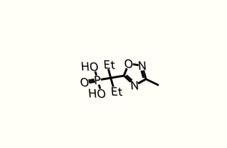 CCC(CC)(c1nc(C)no1)P(=O)(O)O